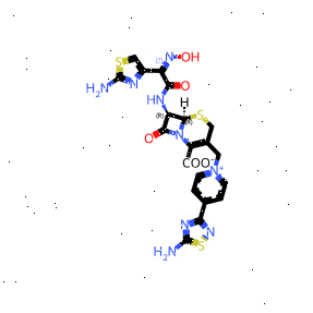 Nc1nc(/C(=N/O)C(=O)N[C@@H]2C(=O)N3C(C(=O)[O-])=C(C[n+]4ccc(-c5nsc(N)n5)cc4)CS[C@H]23)cs1